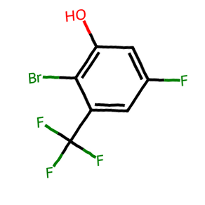 Oc1cc(F)cc(C(F)(F)F)c1Br